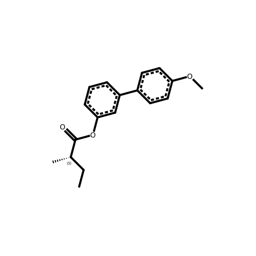 CC[C@H](C)C(=O)Oc1cccc(-c2ccc(OC)cc2)c1